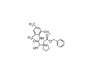 CCCC(C(=O)Nc1c(C)cc(C)cc1C)[PH]1(CC(=O)OCc2ccccc2)CCCC1